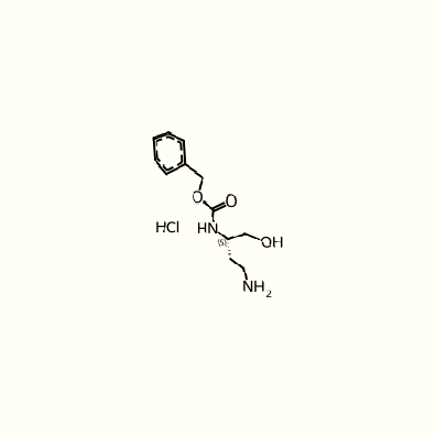 Cl.NCC[C@@H](CO)NC(=O)OCc1ccccc1